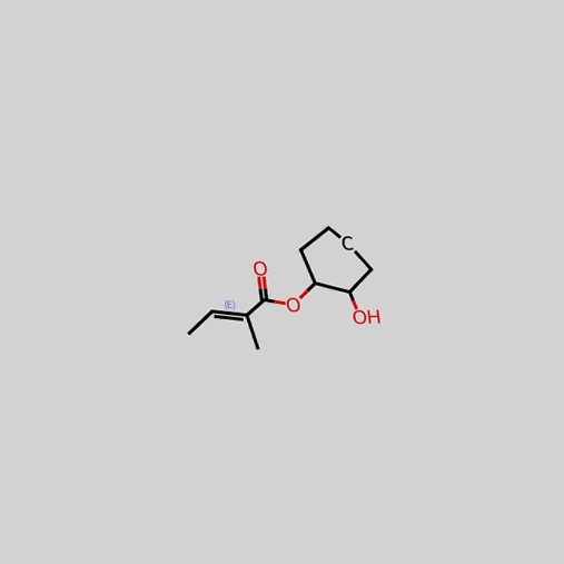 C/C=C(\C)C(=O)OC1CCCCC1O